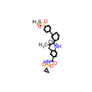 CC1(C)Cc2cc(C(=O)NS(=O)(=O)C3CC3)ccc2NC1c1cccc(-c2ccc(S(C)(=O)=O)cc2)c1